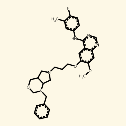 COc1cc2ncnc(Nc3ccc(F)c(C)c3)c2cc1OCCCN1CC2COCN(Cc3ccccc3)C2C1